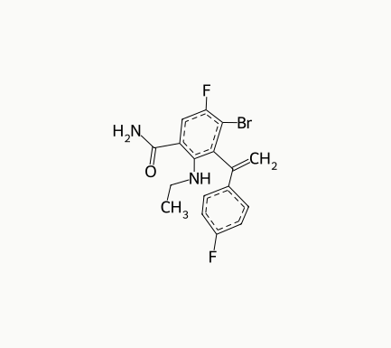 C=C(c1ccc(F)cc1)c1c(Br)c(F)cc(C(N)=O)c1NCC